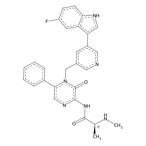 CN[C@@H](C)C(=O)Nc1ncc(-c2ccccc2)n(Cc2cncc(-c3c[nH]c4ccc(F)cc34)c2)c1=O